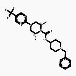 C[C@@H]1CN(c2ncc(C(F)(F)F)cn2)C[C@@H](C)N1C(=O)NC1CCN(Cc2ccccc2)CC1